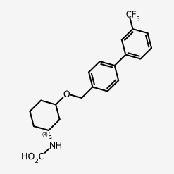 O=C(O)N[C@@H]1CCCC(OCc2ccc(-c3cccc(C(F)(F)F)c3)cc2)C1